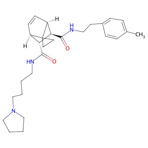 Cc1ccc(CCNC(=O)[C@H]2[C@H](C(=O)NCCCCN3CCCC3)[C@H]3C=C[C@@H]2C32CC2)cc1